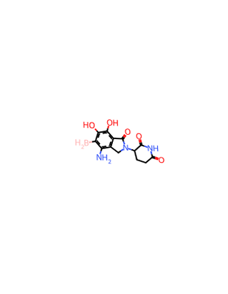 Bc1c(N)c2c(c(O)c1O)C(=O)N(C1CCC(=O)NC1=O)C2